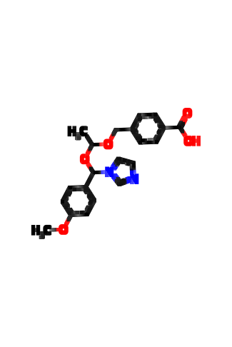 COc1ccc(C(OC(C)OCc2ccc(C(=O)O)cc2)n2ccnc2)cc1